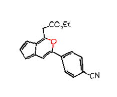 CCOC(=O)Cc1oc(-c2ccc(C#N)cc2)cc2cccc1-2